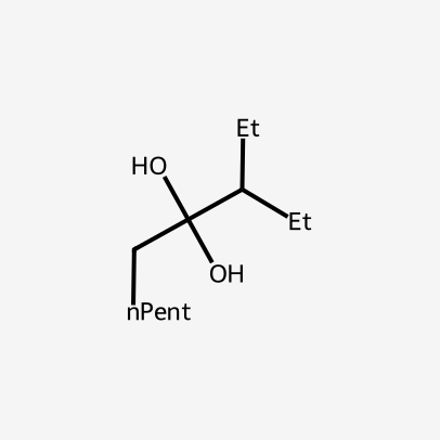 CCCCCCC(O)(O)C(CC)CC